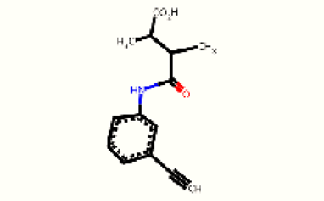 C#Cc1cccc(NC(=O)C(C)C(C)C(=O)O)c1